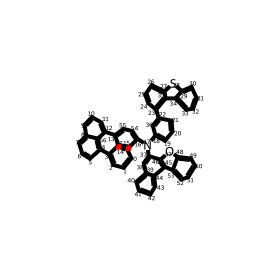 c1ccc(-c2cccc3cccc(-c4ccc(N(c5cccc(-c6cccc7sc8ccccc8c67)c5)c5cc6ccccc6c6c5oc5ccccc56)cc4)c23)cc1